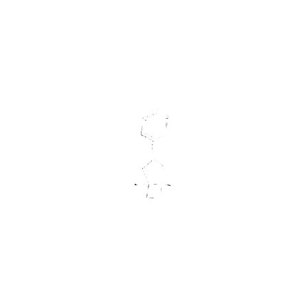 Cc1ccc(N2C[C@H]3CN[C@H]3C2)cn1